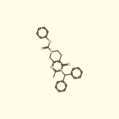 Cc1nc2c(c(=O)n1C(c1ccccc1)c1ccccc1)CCN(C(=O)Oc1ccccc1)C2